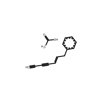 C#CC#CC=CCc1ccccc1.CC(=O)O